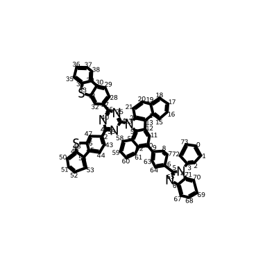 c1ccc(-n2c(-c3ccc(-c4cc5c6c7ccccc7ccc6n(-c6nc(-c7ccc8c(c7)sc7ccccc78)nc(-c7ccc8c(c7)sc7ccccc78)n6)c5c5ccccc45)cc3)nc3ccccc32)cc1